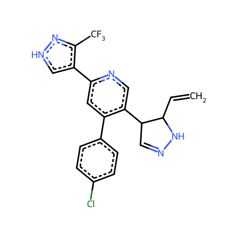 C=CC1NN=CC1c1cnc(-c2c[nH]nc2C(F)(F)F)cc1-c1ccc(Cl)cc1